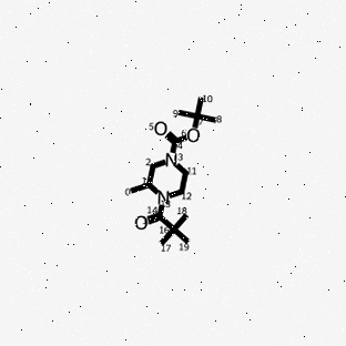 CC1CN(C(=O)OC(C)(C)C)CCN1C(=O)C(C)(C)C